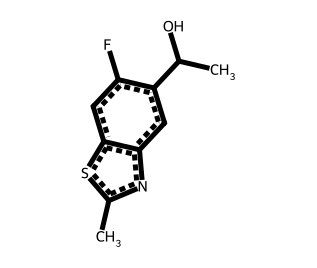 Cc1nc2cc(C(C)O)c(F)cc2s1